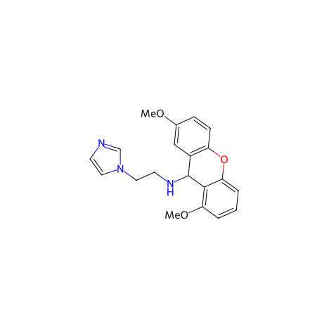 COc1ccc2c(c1)C(NCCn1ccnc1)c1c(OC)cccc1O2